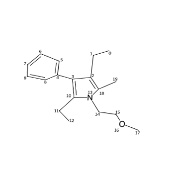 CCc1c(-c2ccccc2)c(CC)n(CCOC)c1C